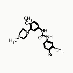 COc1ccc(NC(=O)Nc2ccc(Br)c(C)c2)cc1N1CCN(C)CC1